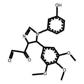 COc1cc(C2C(C(=O)C=O)N=CN2c2cccc(O)c2)cc(OC)c1OC